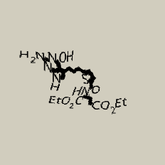 CCOC(=O)CC[C@H](NC(=O)c1ccc(CCCc2c[nH]c3nc(N)nc(O)c23)s1)C(=O)OCC